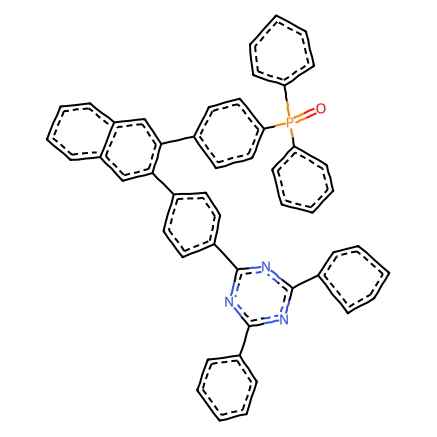 O=P(c1ccccc1)(c1ccccc1)c1ccc(-c2cc3ccccc3cc2-c2ccc(-c3nc(-c4ccccc4)nc(-c4ccccc4)n3)cc2)cc1